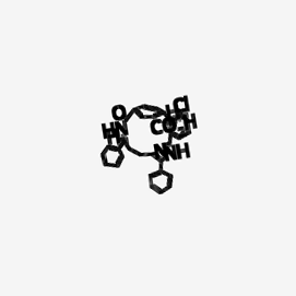 O=C1N[C@@H](c2ccccc2)CCc2nc([nH]c2-c2ccccc2)C2=CC=C[C@H](Cl)[C@@H]2c2ccc1cc2C(=O)O